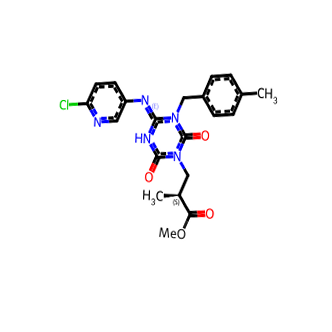 COC(=O)[C@@H](C)Cn1c(=O)[nH]/c(=N\c2ccc(Cl)nc2)n(Cc2ccc(C)cc2)c1=O